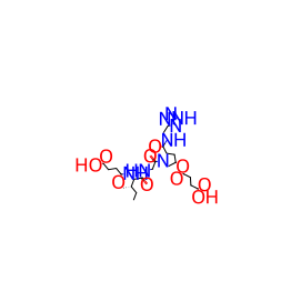 CC[C@H](C)[C@H](NC(=O)CCC(=O)O)C(=O)NCC(=O)N1C[C@H](OC(=O)CCC(=O)O)CC1C(=O)NCc1nn[nH]n1